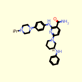 CC(C)N1CCN(c2ccc(Nc3nc(N4CCC[C@@H](Nc5ccccc5)C4)ccc3C(N)=O)cc2)CC1